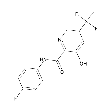 CC(F)(F)C1C=C(O)C(C(=O)Nc2ccc(F)cc2)=NC1